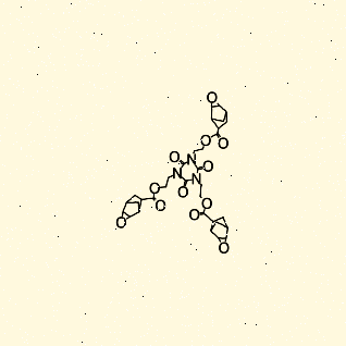 O=C(OCCn1c(=O)n(CCOC(=O)C2CC3CC2C2OC32)c(=O)n(CCOC(=O)C2CC3CC2C2OC32)c1=O)C1CC2CC1C1OC21